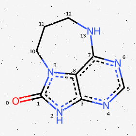 O=c1[nH]c2ncnc3c2n1CCCN3